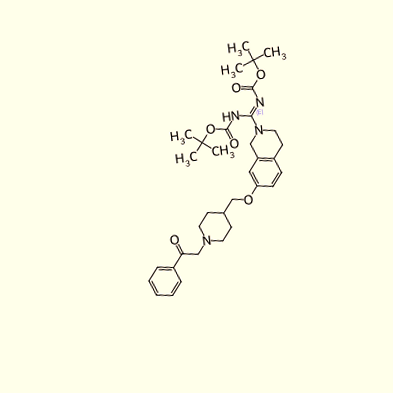 CC(C)(C)OC(=O)/N=C(\NC(=O)OC(C)(C)C)N1CCc2ccc(OCC3CCN(CC(=O)c4ccccc4)CC3)cc2C1